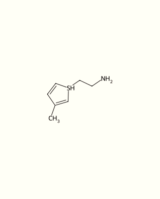 CC1=C[SH](CCN)C=C1